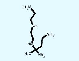 CC(N)(CCN)NCCNCCN